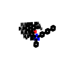 Bc1c(B)c(B)c(-c2c(B)c(B)c(B)c3oc4c(-c5nc(-c6ccccc6)nc(-c6ccc(-c7ccc(-c8ccccc8)cc7)cc6)n5)c(B)c(B)c(B)c4c23)c(B)c1B